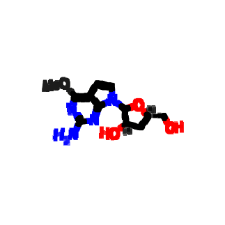 COc1nc(N)nc2c1ccn2C1O[C@H](CO)C[C@H]1O